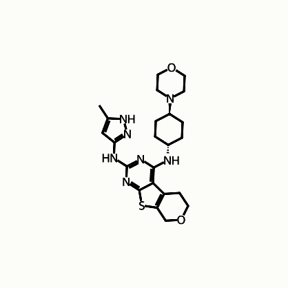 Cc1cc(Nc2nc(N[C@H]3CC[C@H](N4CCOCC4)CC3)c3c4c(sc3n2)COCC4)n[nH]1